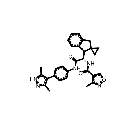 Cc1nocc1C(=O)N[C@H](C(=O)Nc1ccc(-c2c(C)n[nH]c2C)cc1)C1c2ccccc2CC12CC2